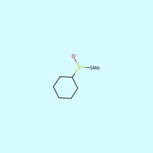 CS[S+]([O-])C1CCCCC1